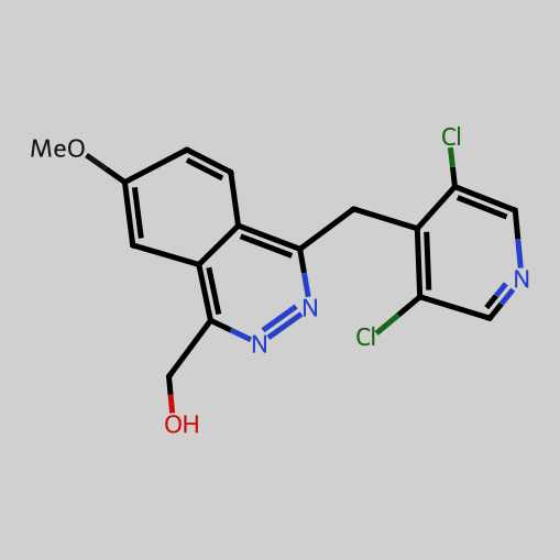 COc1ccc2c(Cc3c(Cl)cncc3Cl)nnc(CO)c2c1